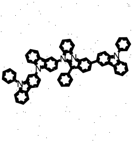 c1ccc(-c2c3ccc(-c4ccc5c(c4)c4ccccc4n5-c4ccccc4)cc3n3c4ccccc4n(-c4ccc5c(c4)c4ccccc4n5-c4ccc5c6ccccc6n(-c6ccccc6)c5c4)c23)cc1